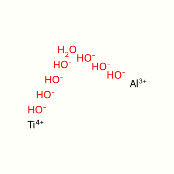 O.[Al+3].[OH-].[OH-].[OH-].[OH-].[OH-].[OH-].[OH-].[Ti+4]